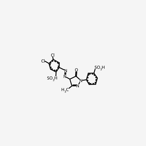 CC1=NN(c2cccc(S(=O)(=O)O)c2)C(=O)C1N=Nc1cc(Cl)c(Cl)cc1S(=O)(=O)O